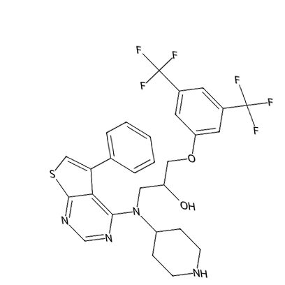 OC(COc1cc(C(F)(F)F)cc(C(F)(F)F)c1)CN(c1ncnc2scc(-c3ccccc3)c12)C1CCNCC1